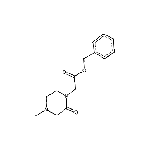 CN1CCN(CC(=O)OCc2ccccc2)C(=O)C1